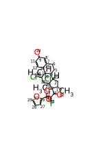 CC1C[C@H]2[C@@H]3CCC4=CC(=O)C=C[C@]4(C)[C@@]3(Cl)C(Cl)C[C@]2(C)[C@@]1(OC(=O)c1ccco1)C(=O)CF